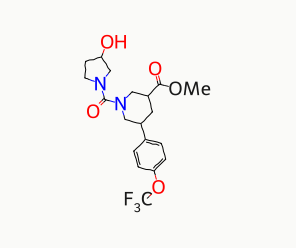 COC(=O)C1CC(c2ccc(OC(F)(F)F)cc2)CN(C(=O)N2CCC(O)C2)C1